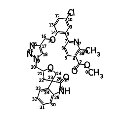 COC(=O)c1ccc(-c2cc(Cl)ccc2OCc2cn(CC3CC4(CO3)C(=O)Nc3ccccc34)nn2)nc1C